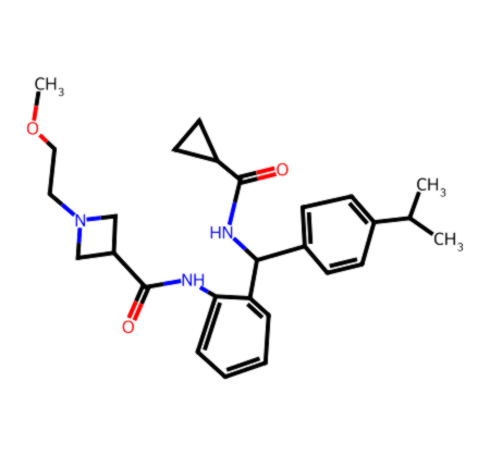 COCCN1CC(C(=O)Nc2ccccc2C(NC(=O)C2CC2)c2ccc(C(C)C)cc2)C1